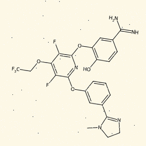 CN1CCN=C1c1cccc(Oc2nc(Oc3cc(C(=N)N)ccc3O)c(F)c(OCC(F)(F)F)c2F)c1